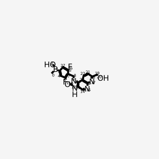 CB(O)c1cc(F)c(Cn2c(=O)[nH]c3cnc4nc(CO)ccc4c32)c(F)c1